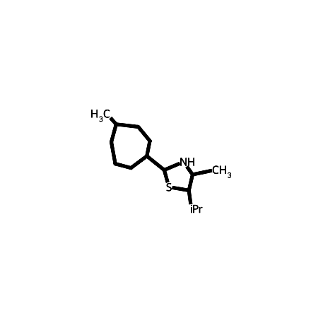 CC1CCCC(C2NC(C)C(C(C)C)S2)CC1